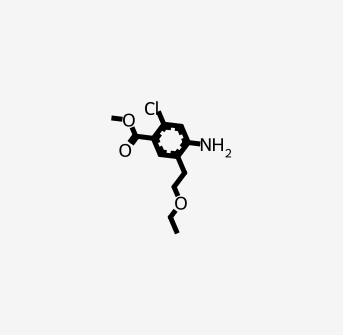 CCOCCc1cc(C(=O)OC)c(Cl)cc1N